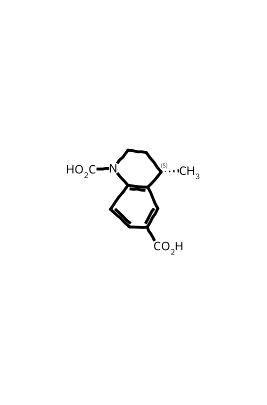 C[C@H]1CCN(C(=O)O)c2ccc(C(=O)O)cc21